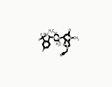 CC(c1ccc(F)cc1C(F)(F)F)N1C[C@H](C)N(c2cc(=O)n(C)c3cn(CC#N)nc23)C[C@H]1C